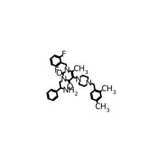 Cc1ccc(CN2CCN(c3c(C)n(Cc4c(F)cccc4F)c(=O)n(CC(N)c4ccccc4)c3=O)CC2)c(C)c1